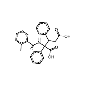 Cc1ccccc1C(=O)NC(C(=O)O)(c1ccccc1)C(CC(=O)O)c1ccccc1